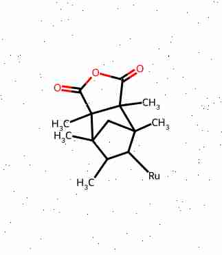 CC1[CH]([Ru])C2(C)CC1(C)C1(C)C(=O)OC(=O)C21C